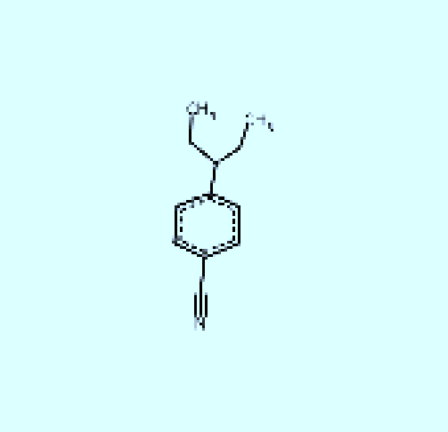 CCC(CC)c1ccc(C#N)cc1